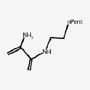 C=C(N)C(=C)NCCCCCCC